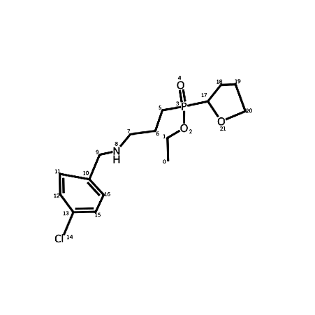 CCOP(=O)(CCCNCc1ccc(Cl)cc1)C1CCCO1